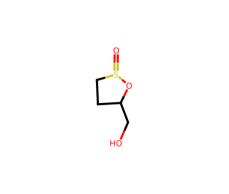 O=S1CCC(CO)O1